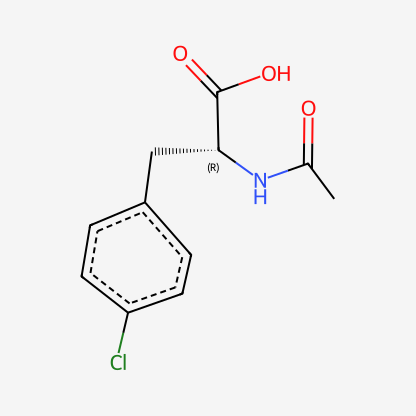 CC(=O)N[C@H](Cc1ccc(Cl)cc1)C(=O)O